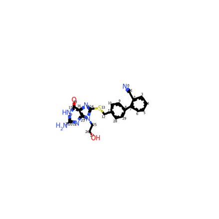 N#Cc1ccccc1-c1ccc(CSc2nc3c(=O)[nH]c(N)nc3n2CCO)cc1